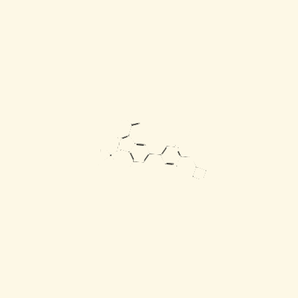 CC(=O)c1nn(C(C)(C)C)c2c(C)cc(-c3cnc(OC4COC4)nc3)cc12